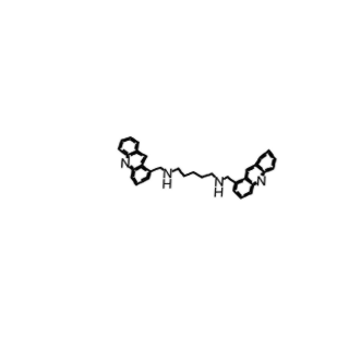 c1ccc2nc3cccc(CNCCCCCNCc4cccc5nc6ccccc6cc45)c3cc2c1